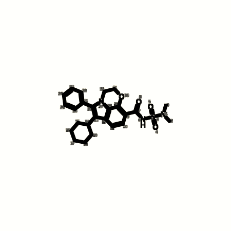 CN(C)S(=O)(=O)NC(=O)c1ccc2c(C3CCCCC3)c(-c3ccccc3)n3c2c1OCC3